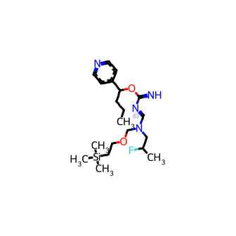 CCCC(OC(=N)/N=C/N(COCC[Si](C)(C)C)CC(C)F)c1ccncc1